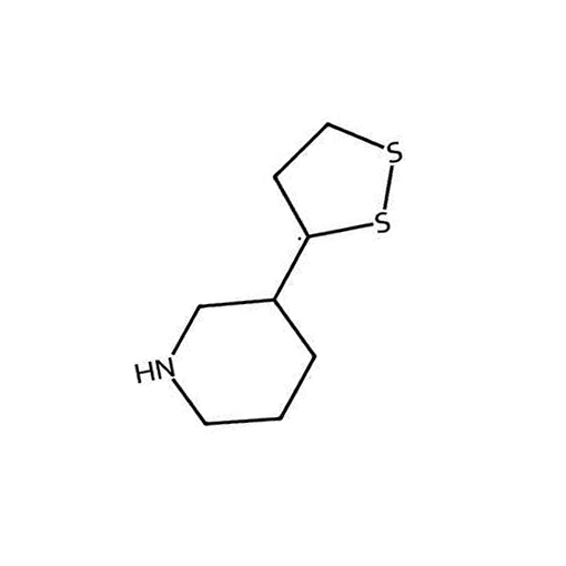 C1CNCC([C]2CCSS2)C1